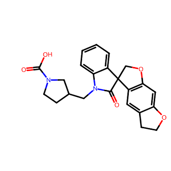 O=C(O)N1CCC(CN2C(=O)C3(COc4cc5c(cc43)CCO5)c3ccccc32)C1